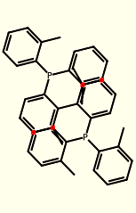 Cc1ccccc1P(c1ccccc1C)c1cccc(C)c1-c1c(C)cccc1P(c1ccccc1C)c1ccccc1C